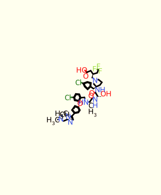 C[C@H](NCc1ccc(Cl)cc1Oc1ccc(-c2cnc(CN(C)C)n2C)cc1)C(=O)N[C@@H](CO)C(=O)N[C@@]1(Cc2ccc(Cl)cc2)CCCN(C[C@@H](CC(=O)O)CC(F)(F)F)C1